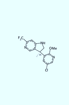 COc1ncc(Cl)cc1[C@]1(C)CNc2cc(C(F)(F)F)ncc21